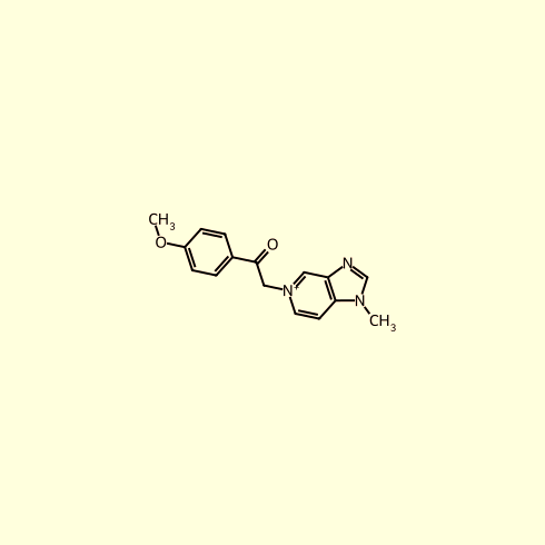 COc1ccc(C(=O)C[n+]2ccc3c(c2)ncn3C)cc1